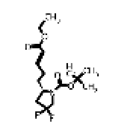 CCOC(=O)C=CCC[C@@H]1CC(F)(F)CN1C(=O)OC(C)(C)C